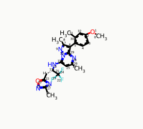 COc1ccc(-c2c(C)nn3c(N[C@@H](Cc4nc(C)no4)C(F)(F)F)cc(C)nc23)c(C)c1